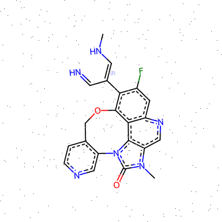 CN/C=C(\C=N)c1c(F)cc2ncc3c4c2c1OCc1ccncc1-n4c(=O)n3C